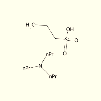 CCCN(CCC)CCC.CCCS(=O)(=O)O